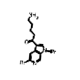 CC(C)n1cc(C(=O)CCCCN)c2cc(Br)ncc21